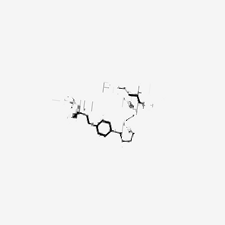 Cc1c(CC(C)(C)C)nn(CCN2CCCC2c2ccc(/C=C/C(=O)NO)cc2)c1O